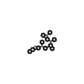 c1ccc(N(c2cccc(-c3cc(N(c4ccccc4)c4ccc5c6ccccc6n(-c6ccccc6)c5c4)cc4ccccc34)c2)c2ccc3c(c2)oc2cc4ccccc4cc23)cc1